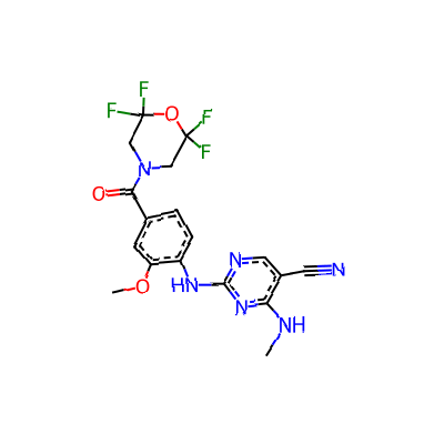 CNc1nc(Nc2ccc(C(=O)N3CC(F)(F)OC(F)(F)C3)cc2OC)ncc1C#N